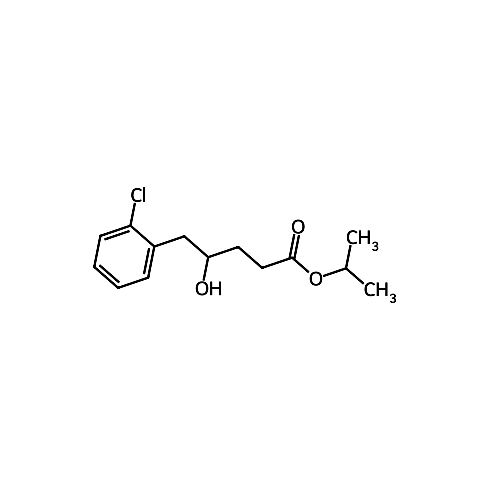 CC(C)OC(=O)CCC(O)Cc1ccccc1Cl